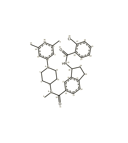 Cc1cc(N2CCC(N(C)C(=O)c3ccc4c(c3)C(NC(=O)c3ccccc3Cl)CC4)CC2)cc(C)n1